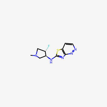 CN1C[C@H](Nc2nc3nnccc3s2)[C@@H](F)C1